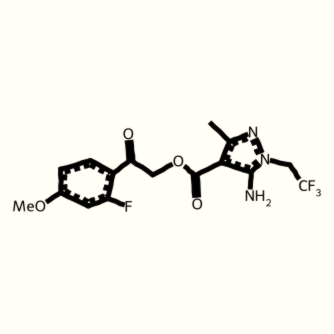 COc1ccc(C(=O)COC(=O)c2c(C)nn(CC(F)(F)F)c2N)c(F)c1